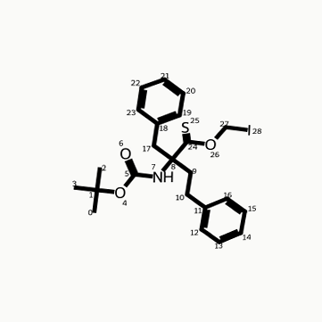 CC(C)(C)OC(=O)NC(CCc1ccccc1)(Cc1ccccc1)C(=S)OCI